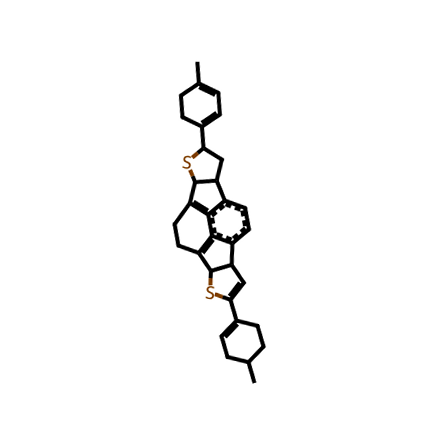 CC1=CC=C(C2CC3c4ccc5c6c4=C(CCC=6C4SC(C6=CCC(C)CC6)=CC54)C3S2)CC1